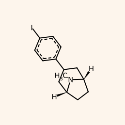 CN1[C@@H]2CC[C@H]1CC(c1ccc(I)cc1)C2